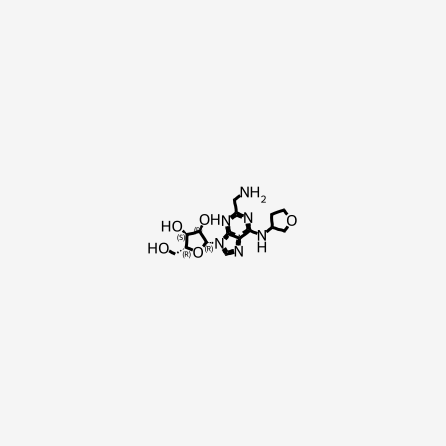 NCc1nc(NC2CCOC2)c2ncn([C@@H]3O[C@H](CO)[C@@H](O)[C@H]3O)c2n1